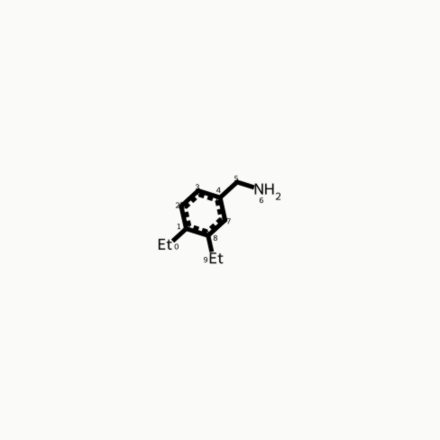 CCc1[c]cc(CN)cc1CC